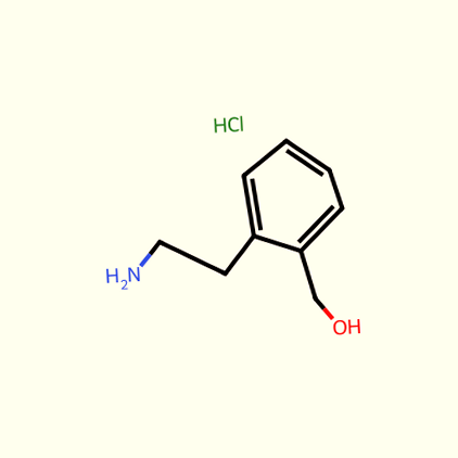 Cl.NCCc1ccccc1CO